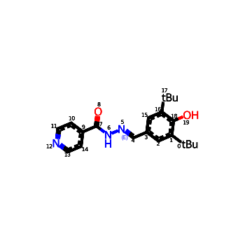 CC(C)(C)c1cc(/C=N/NC(=O)c2ccncc2)cc(C(C)(C)C)c1O